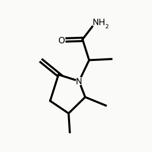 C=C1CC(C)C(C)N1C(C)C(N)=O